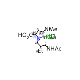 CCC(CNC(C)=O)CN1C[C@H](NC)C[C@@H]1C(=O)O.Cl.Cl